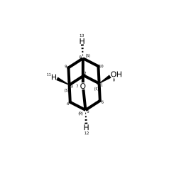 O[C@]12C[C@@H]3C[C@H](C1)O[C@@H](C3)C2